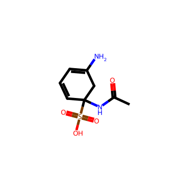 CC(=O)NC1(S(=O)(=O)O)C=CC=C(N)C1